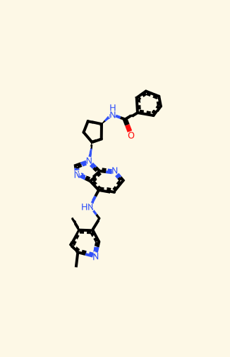 Cc1cc(C)c(CNc2ccnc3c2ncn3[C@H]2CC[C@@H](NC(=O)c3ccccc3)C2)cn1